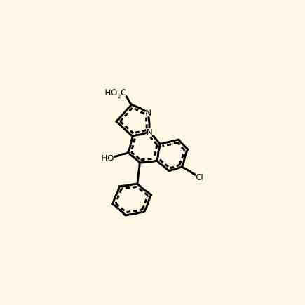 O=C(O)c1cc2c(O)c(-c3ccccc3)c3cc(Cl)ccc3n2n1